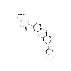 Cn1cc(-n2ccc(=O)c(Cc3cccc(N(C[C@@H]4CCCN4)C(=O)O)c3)n2)cn1